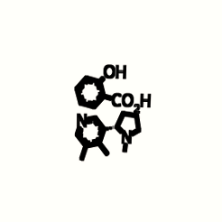 Cc1cncc([C@@H]2CCCN2C)c1C.O=C(O)c1ccccc1O